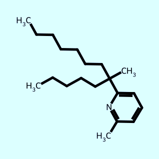 CCCCCCCC(C)(CCCCC)c1cccc(C)n1